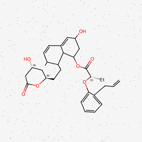 C=CCc1ccccc1O[C@@H](CC)C(=O)OC1CC(O)C=C2C=CC(C)C(CC[C@@H]3C[C@@H](O)CC(=O)O3)C21